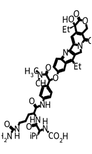 CCc1c2c(nc3ccc(OC(C(=O)N(C)C)c4ccc(NC(=O)C(CCCNC(N)=O)NC(=O)C(NC(=O)O)C(C)C)cc4)cc13)-c1cc3c(c(=O)n1C2)COC(=O)[C@]3(O)CC